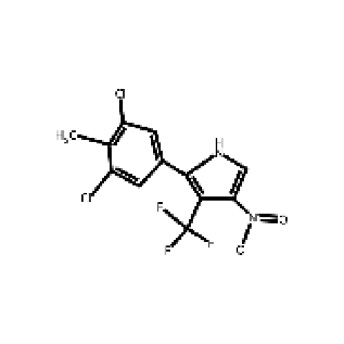 Cc1c(Cl)cc(-c2[nH]cc([N+](=O)[O-])c2C(F)(F)F)cc1Cl